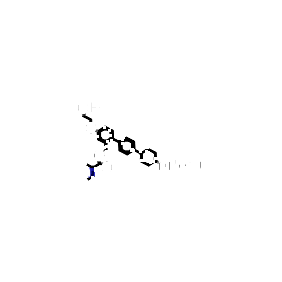 C/C=C(\C)C(=O)OCc1cc(OCCO)ccc1-c1ccc(C2CCC(CCCCC)CC2)cc1